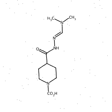 CN(C)/C=N/NC(=O)C1CCN(C(=O)O)CC1